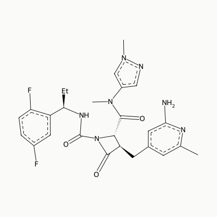 CC[C@@H](NC(=O)N1C(=O)[C@H](Cc2cc(C)nc(N)c2)[C@H]1C(=O)N(C)c1cnn(C)c1)c1cc(F)ccc1F